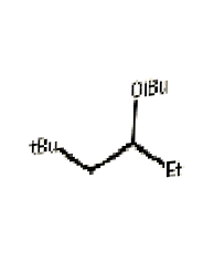 [CH2]CC(CC(C)(C)C)OCC(C)C